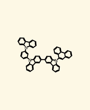 c1cc(-n2c3ccccc3c3ccccc32)cc(-n2c3ccccc3c3cc(-c4ccc5c(c4)c4ccccc4n5-c4cc5ccccc5c5ccccc45)ccc32)c1